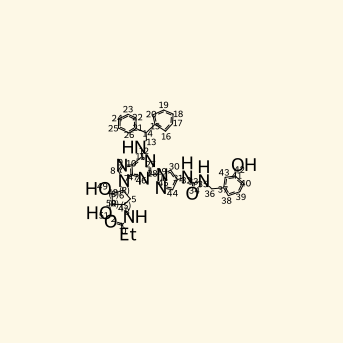 CCC(=O)N[C@H]1C[C@@H](n2cnc3c(NCC(c4ccccc4)c4ccccc4)nc(-n4cc(NC(=O)NCc5cccc(O)c5)cn4)nc32)[C@H](O)[C@@H]1O